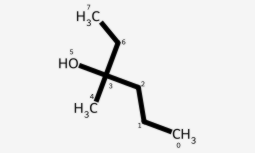 CCCC(C)(O)CC